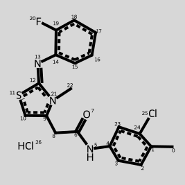 Cc1ccc(NC(=O)Cc2csc(=Nc3ccccc3F)n2C)cc1Cl.Cl